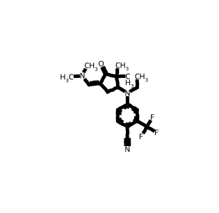 CCN(c1ccc(C#N)c(C(F)(F)F)c1)C1C/C(=C/N(C)C)C(=O)C1(C)C